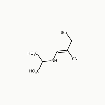 CC(C)(C)CC(C#N)=CNC(C(=O)O)C(=O)O